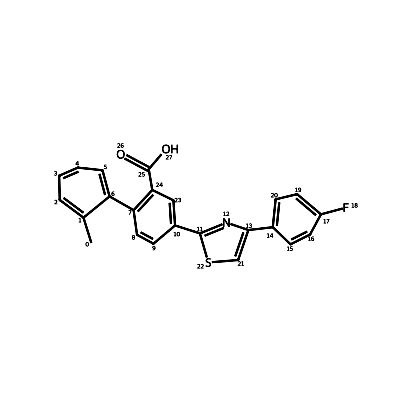 Cc1ccccc1-c1ccc(-c2nc(-c3ccc(F)cc3)cs2)cc1C(=O)O